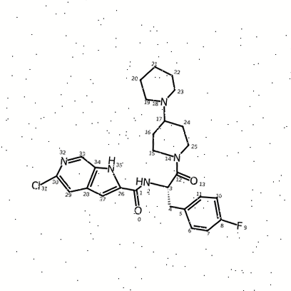 O=C(N[C@@H](Cc1ccc(F)cc1)C(=O)N1CCC(N2CCCCC2)CC1)c1cc2cc(Cl)ncc2[nH]1